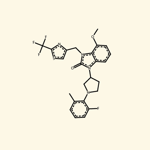 COc1cccc2c1n(Cc1csc(C(F)(F)F)n1)c(=O)n2C1CCN(c2c(C)cccc2F)C1